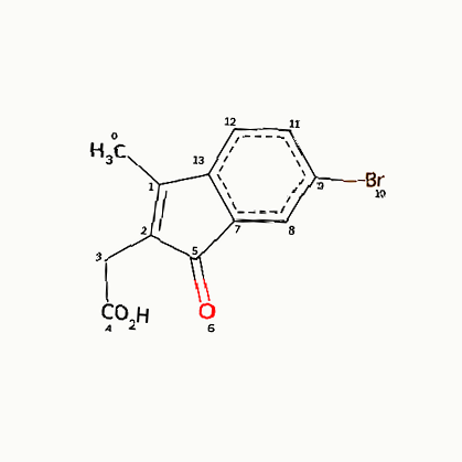 CC1=C(CC(=O)O)C(=O)c2cc(Br)ccc21